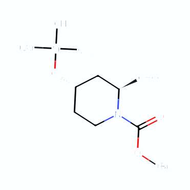 CC(C)(C)OC(=O)N1CC[C@H](O[Si](C)(C)C(C)(C)C)C[C@H]1C=O